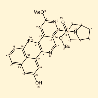 COc1nc(N2CC3CCC(C2)N3C(=O)OC(C)(C)C)c2cnc(-c3cc(O)cc4cccc(Cl)c34)c(F)c2n1